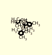 CC(O)C(C)C(C)O.Cc1cc(C)c(OC(=O)C(=O)c2c(C)cc(C)cc2C)c(C)c1